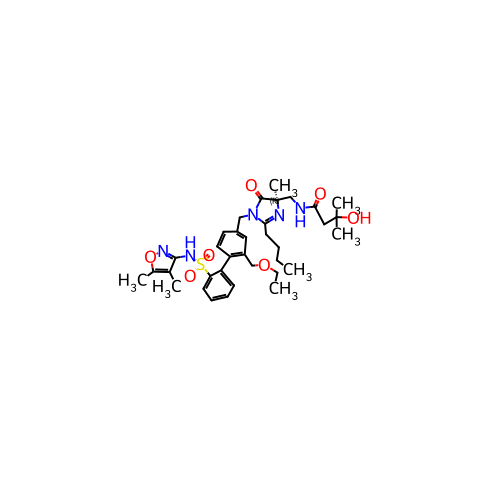 CCCCC1=N[C@](C)(CNC(=O)CC(C)(C)O)C(=O)N1Cc1ccc(-c2ccccc2S(=O)(=O)Nc2noc(C)c2C)c(COCC)c1